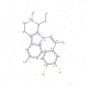 CCC1c2c(c3cc(C)ccc3n2/C=C(/C)c2ccc(F)c(F)c2)CCN1C